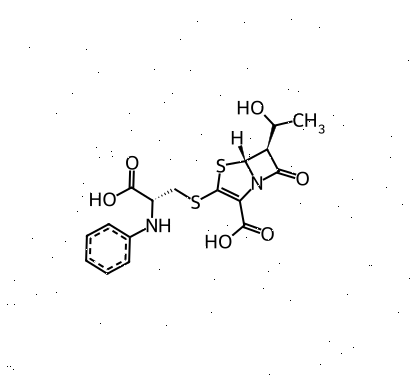 CC(O)[C@H]1C(=O)N2C(C(=O)O)=C(SC[C@H](Nc3ccccc3)C(=O)O)S[C@H]12